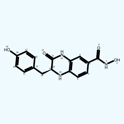 O=C(NO)c1ccc2c(c1)NC(=O)[C@H](Cc1ccc(O)cc1)N2